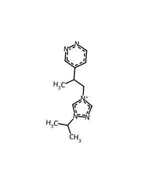 CC(C[n+]1cnn(C(C)C)c1)c1ccnnc1